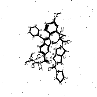 COc1ccc2c(c1)[C@@H]1CC1(C(=O)N1CC3CN(C(=O)N4CCCC4)CC3C1)Cn1c-2c(C2CCCCC2)c2ccc(C(=O)NS(=O)(=O)N(C)C)cc21